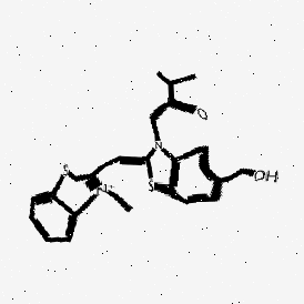 CC(C)C(=O)CN1/C(=C/c2sc3ccccc3[n+]2C)Sc2ccc(CO)cc21